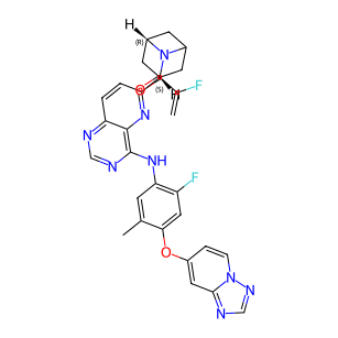 C=C(F)C(=O)N1C2C[C@H](c3ccc4ncnc(Nc5cc(C)c(Oc6ccn7ncnc7c6)cc5F)c4n3)C[C@@H]1C2